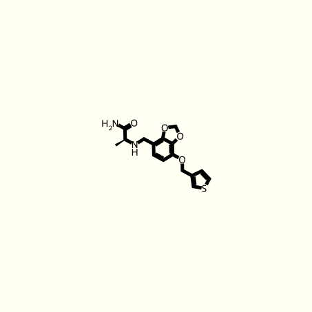 C[C@H](NCc1ccc(OCc2ccsc2)c2c1OCO2)C(N)=O